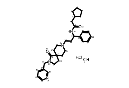 Cl.Cl.O=C(CC1CCCC1)NC(CCN1CCC2(CC1)CCN(Cc1cccnc1)C2=O)c1ccccc1